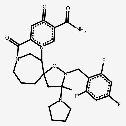 CC1(N2CCCC2)CC2(CCCN3CC2n2cc(C(N)=O)c(=O)cc2C3=O)ON1Cc1c(F)cc(F)cc1F